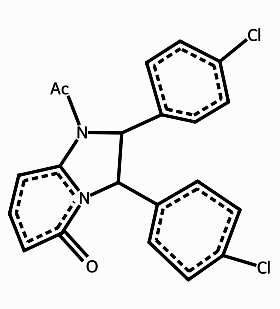 CC(=O)N1c2cccc(=O)n2C(c2ccc(Cl)cc2)C1c1ccc(Cl)cc1